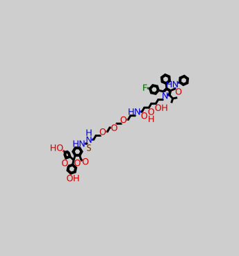 CC(C)c1c(C(=O)Nc2ccccc2)c(-c2ccccc2)c(-c2ccc(F)cc2)n1CC[C@@H](O)C[C@@H](O)CC(=O)NCCCOCCOCCOCCCNC(=S)Nc1ccc2c(c1)C(=O)OC21c2ccc(O)cc2Oc2cc(O)ccc21